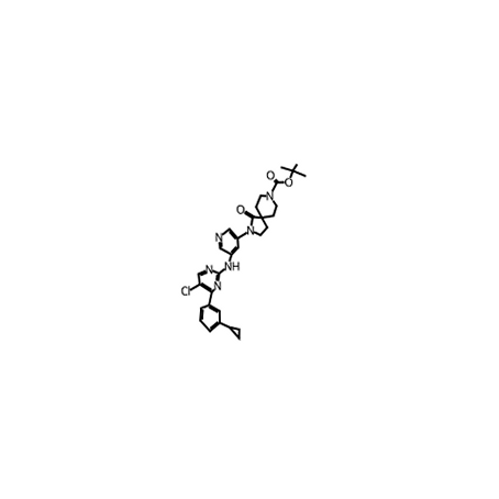 CC(C)(C)OC(=O)N1CCC2(CC1)CCN(c1cncc(Nc3ncc(Cl)c(-c4cccc(C5CC5)c4)n3)c1)C2=O